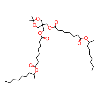 CCCCCCCC(C)OC(=O)CCCCCCC(=O)OCC1(COC(=O)CCCCCCC(=O)OC(C)CCCCCCC)COC(C)(C)OC1